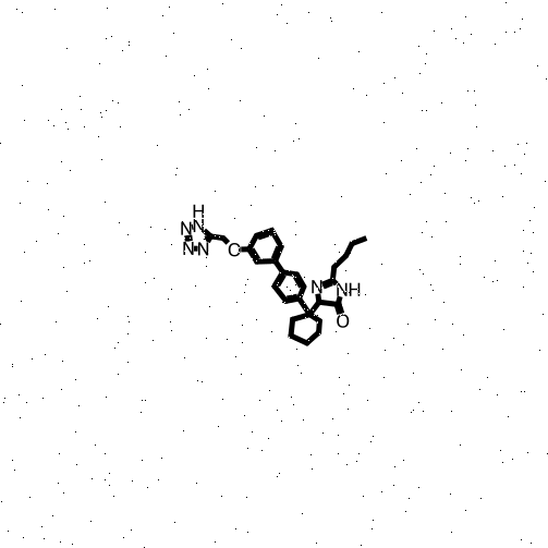 CCCCC1=NC(C2(c3ccc(-c4cccc(OCc5nnn[nH]5)c4)cc3)CCCCC2)C(=O)N1